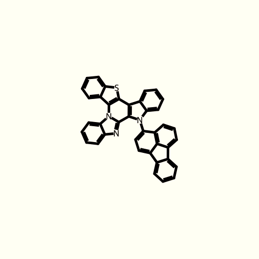 c1ccc2c(c1)-c1cccc3c(-n4c5ccccc5c5c6sc7ccccc7c6n6c7ccccc7nc6c54)ccc-2c13